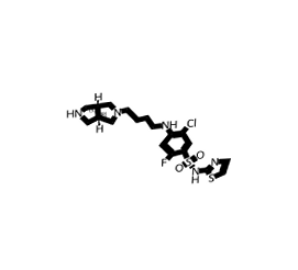 O=S(=O)(Nc1nccs1)c1cc(Cl)c(NCCCCN2C[C@H]3CNC[C@H]3C2)cc1F